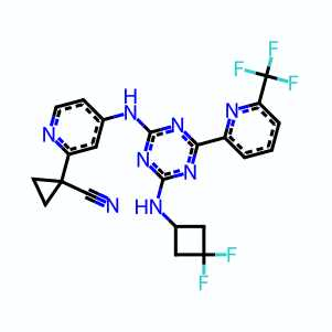 N#CC1(c2cc(Nc3nc(NC4CC(F)(F)C4)nc(-c4cccc(C(F)(F)F)n4)n3)ccn2)CC1